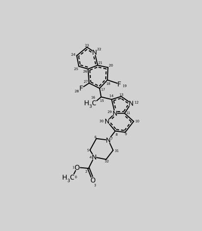 COC(=O)N1CCN(c2ccc3ncc(C(C)c4c(F)cc5ncccc5c4F)n3n2)CC1